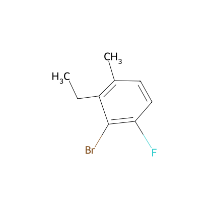 CCc1c(C)ccc(F)c1Br